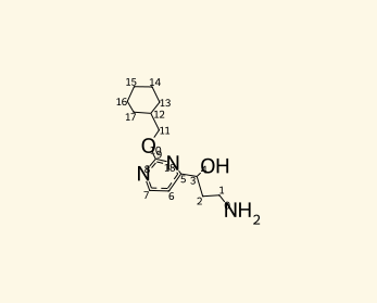 NCCC(O)c1ccnc(OCC2CCCCC2)n1